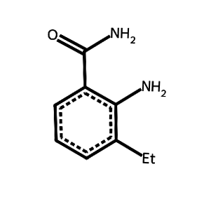 CCc1cccc(C(N)=O)c1N